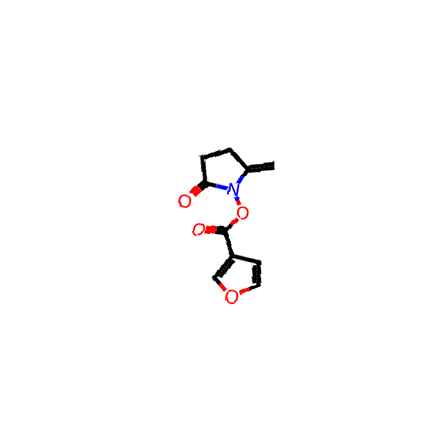 C=C1CCC(=O)N1OC(=O)c1ccoc1